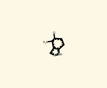 O=[N+]([O-])c1c(Cl)ccc2[nH]ncc12